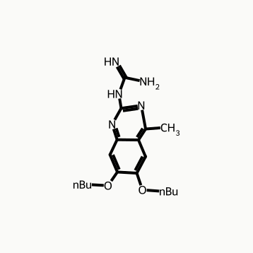 CCCCOc1cc2nc(NC(=N)N)nc(C)c2cc1OCCCC